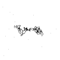 CC(C)(C)OC(=O)N1CCC(n2cc3cc(F)cc(CC(=O)O)c3n2)C1